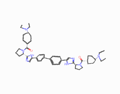 CCN(CC)[C@H]1CC[C@@H](C(=O)N2CCC[C@H]2c2ncc(-c3ccc(-c4ccc(-c5cnc([C@@H]6CCCN6C(=O)[C@H]6CC[C@@H](N(CC)CC)CC6)[nH]5)cc4)cc3)[nH]2)CC1